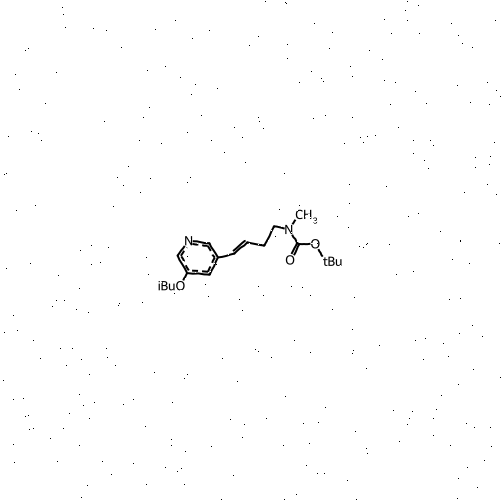 CC(C)COc1cncc(/C=C/CCN(C)C(=O)OC(C)(C)C)c1